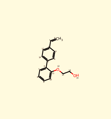 C=Cc1ccc(-c2ccccc2OCCO)cc1